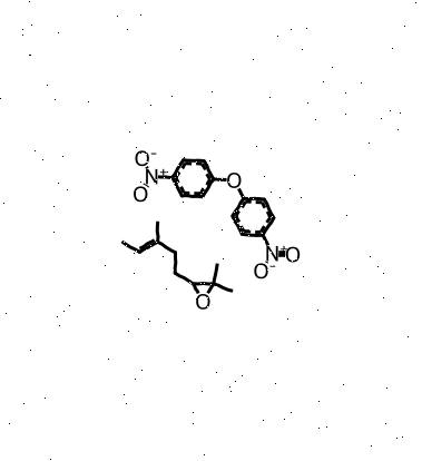 CC=C(C)CCC1OC1(C)C.O=[N+]([O-])c1ccc(Oc2ccc([N+](=O)[O-])cc2)cc1